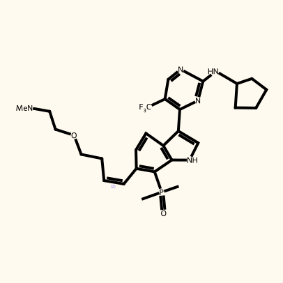 CNCCOCC/C=C\c1ccc2c(-c3nc(NC4CCCC4)ncc3C(F)(F)F)c[nH]c2c1P(C)(C)=O